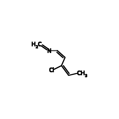 C=N/C=C\C(Cl)=C/C